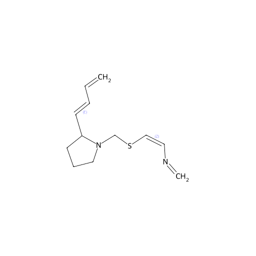 C=C/C=C/C1CCCN1CS/C=C\N=C